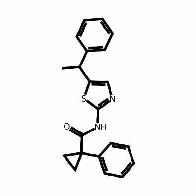 CC(c1ccccc1)c1cnc(NC(=O)C2(c3ccccc3)CC2)s1